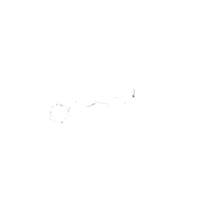 CC(C)(C)OC(=O)CCN/N=C/Cc1ncccn1